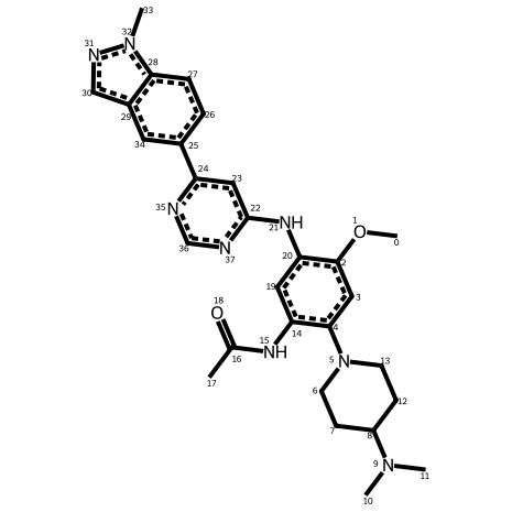 COc1cc(N2CCC(N(C)C)CC2)c(NC(C)=O)cc1Nc1cc(-c2ccc3c(cnn3C)c2)ncn1